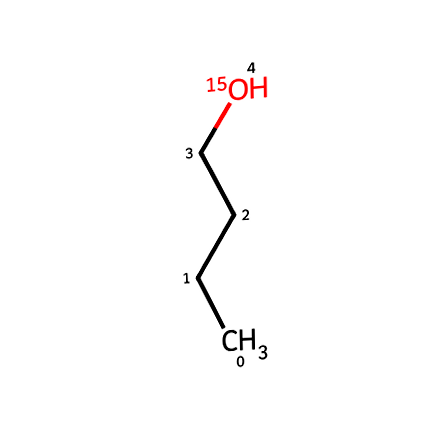 CCCC[15OH]